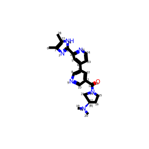 Cc1nc(-c2cc(-c3cncc(C(=O)N4CC[C@@H](N(C)C)C4)c3)ccn2)[nH]c1C